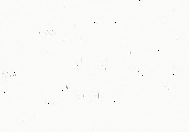 COc1cc(OC)cc([C@H](CC(=O)O)NC(=O)Nc2cccn(Cc3cccs3)c2=O)c1